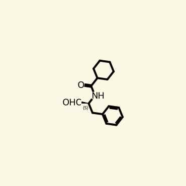 O=C[C@H](Cc1ccccc1)NC(=O)C1CCCCC1